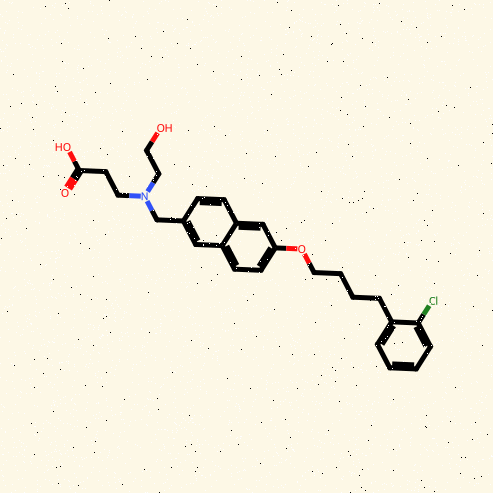 O=C(O)CCN(CCO)Cc1ccc2cc(OCCCCc3ccccc3Cl)ccc2c1